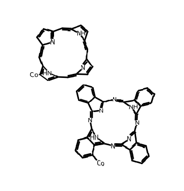 C1=Cc2cc3ccc(cc4nc(cc5ccc(cc1n2)[nH]5)C=C4)[nH]3.[Co].[Co][c]1cccc2c3nc4nc(nc5[nH]c(nc6nc(nc([nH]3)c12)-c1ccccc1-6)c1ccccc51)-c1ccccc1-4